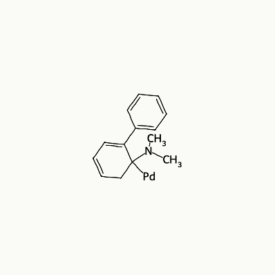 CN(C)[C]1([Pd])CC=CC=C1c1ccccc1